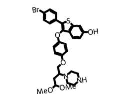 COC(CC(COc1ccc(Oc2c(-c3ccc(Br)cc3)sc3cc(O)ccc23)cc1)N1CCNCC1)OC